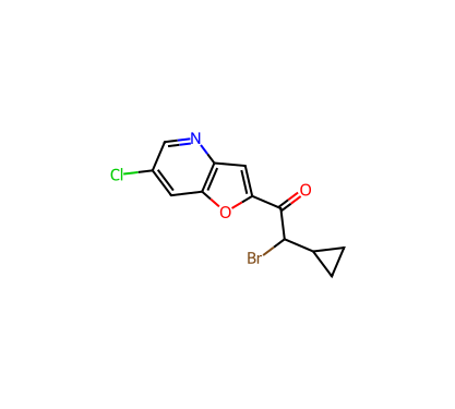 O=C(c1cc2ncc(Cl)cc2o1)C(Br)C1CC1